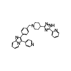 c1ccc(-c2nc(C3CCN(Cc4ccc(-c5nc6ccccn6c5-c5ccncc5)cc4)CC3)n[nH]2)nc1